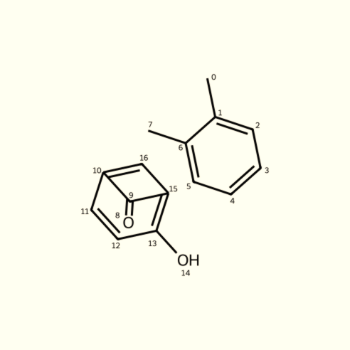 Cc1ccccc1C.O=C1c2ccc(O)c1c2